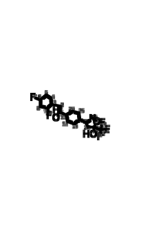 OC(Cc1ccc(F)cc1F)c1ccc(C2=NOC(O)(C(F)(F)F)C2)cc1